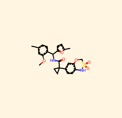 COc1cc(C)ccc1C(NC(=O)C1(c2ccc3c(c2)OCS(=O)(=O)N3)CC1)c1ccc(C)o1